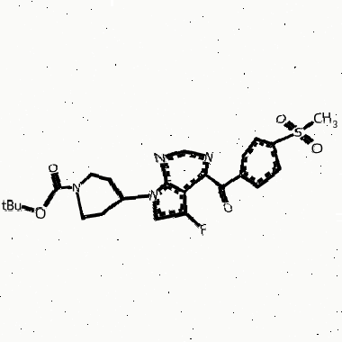 CC(C)(C)OC(=O)N1CCC(n2cc(F)c3c(C(=O)c4ccc(S(C)(=O)=O)cc4)ncnc32)CC1